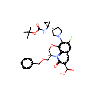 CC(C)(C)OC(=O)NC1([C@@H]2CCN(c3c(F)cc4cc(C(=O)O)c(=O)n5c4c3OC[C@@H]5COCc3ccccc3)C2)CC1